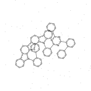 c1ccc(-c2nc(-c3ccccc3-c3ccccc3)nc(-c3ccccc3-n3c4ccccc4c4ccc5c6ccc7c8ccccc8n(-c8ccccc8-c8ccccc8)c7c6sc5c43)n2)cc1